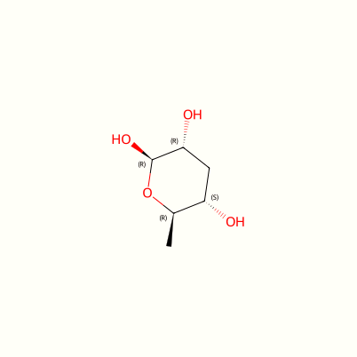 C[C@H]1O[C@@H](O)[C@H](O)C[C@@H]1O